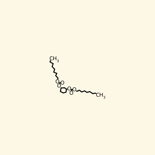 CCCCCCCCCOC(=O)OC1CCCC(OC(=O)OCCCCCCCCC)C1